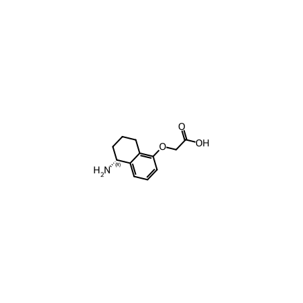 N[C@@H]1CCCc2c(OCC(=O)O)cccc21